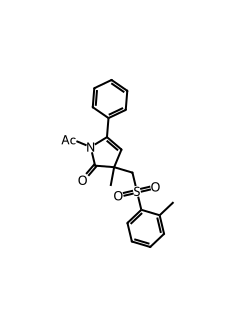 CC(=O)N1C(=O)C(C)(CS(=O)(=O)c2ccccc2C)C=C1c1ccccc1